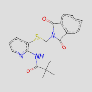 CC(C)(C)C(=O)Nc1ncccc1SCN1C(=O)c2ccccc2C1=O